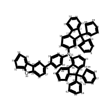 c1ccc(C2(c3ccccc3)c3ccccc3-c3ccc(N(c4ccc(-c5ccc6oc7ccccc7c6c5)cc4)c4cccc5c4-c4ccccc4C5(c4ccccc4)c4ccccc4)cc32)cc1